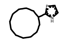 c1cpc(C2CCCCCCCCCCC2)[nH]1